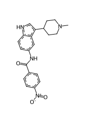 CN1CCC(c2c[nH]c3ccc(NC(=O)c4ccc([N+](=O)[O-])cc4)cc23)CC1